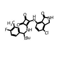 Cc1cc(C(Nc2c(Nc3ccc(Cl)c4c3C(=O)NC4)c(=O)c2=O)C(C)(C)C)ccc1F